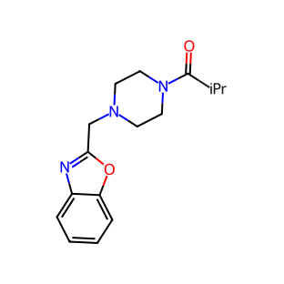 CC(C)C(=O)N1CCN(Cc2nc3ccccc3o2)CC1